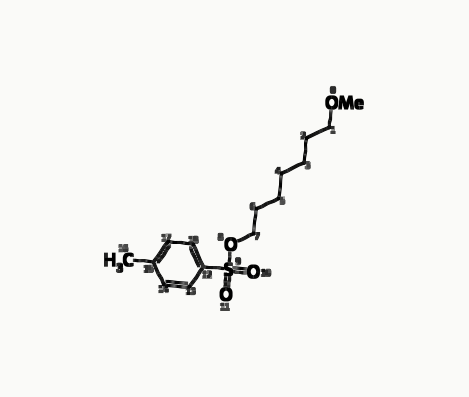 COCCCCCCCOS(=O)(=O)c1ccc(C)cc1